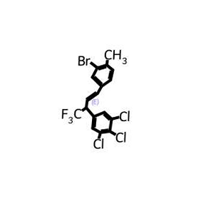 Cc1ccc(/C=C/C(c2cc(Cl)c(Cl)c(Cl)c2)C(F)(F)F)cc1Br